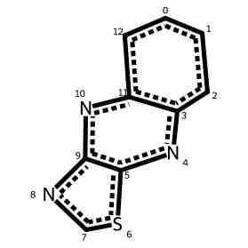 c1ccc2nc3scnc3nc2c1